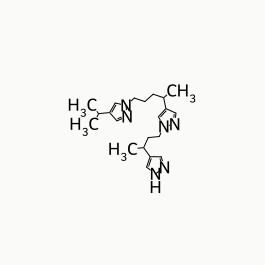 CC(C)c1cnn(CCCC(C)c2cnn(CCC(C)c3cn[nH]c3)c2)c1